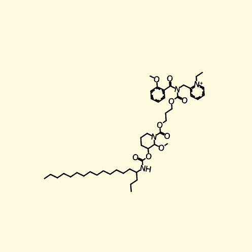 CCCCCCCCCCCCCCC(CCC)NC(=O)OC1CCCN(C(=O)OCCCOC(=O)N(Cc2cccc[n+]2CC)C(=O)c2ccccc2OC)C1OC